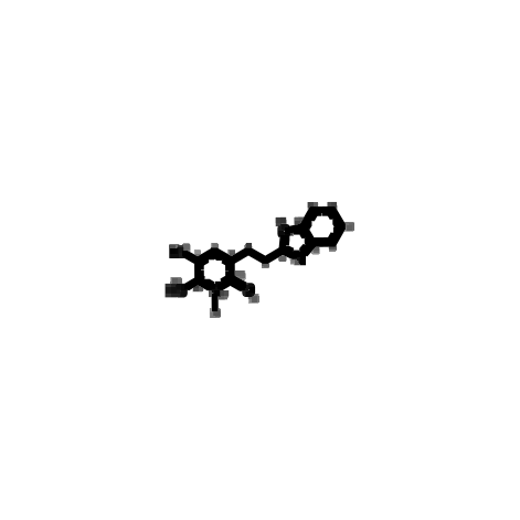 CCc1cc(CCc2nc3ccccc3o2)c(=O)n(C)c1O